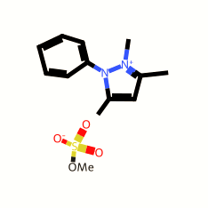 COS(=O)(=O)[O-].Cc1cc(C)[n+](C)n1-c1ccccc1